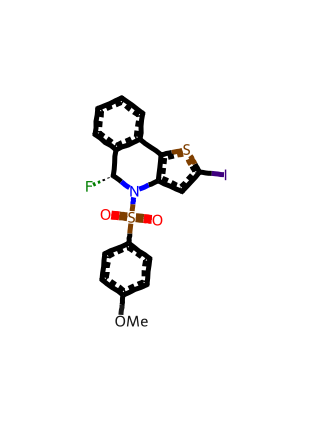 COc1ccc(S(=O)(=O)N2c3cc(I)sc3-c3ccccc3[C@H]2F)cc1